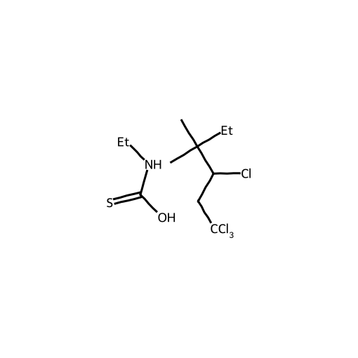 CCC(C)(C)C(Cl)CC(Cl)(Cl)Cl.CCNC(O)=S